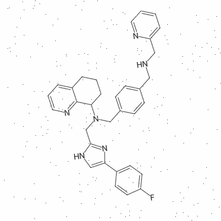 Fc1ccc(-c2c[nH]c(CN(Cc3ccc(CNCc4ccccn4)cc3)C3CCCc4cccnc43)n2)cc1